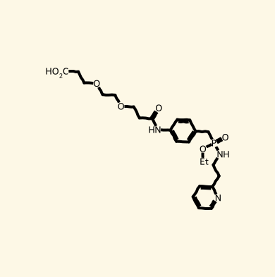 CCOP(=O)(Cc1ccc(NC(=O)CCOCCOCCC(=O)O)cc1)NCCc1ccccn1